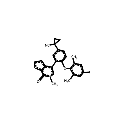 Cc1cc(F)cc(C)c1Oc1ccc(C2(C#N)CC2)cc1-c1cn(C)c(=O)c2sccc12